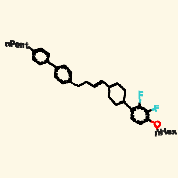 CCCCCCOc1ccc(C2CCC(/C=C/CCc3ccc(-c4ccc(CCCCC)cc4)cc3)CC2)c(F)c1F